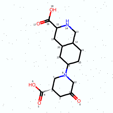 O=C1C[C@H](C(=O)O)CN(C2CCC3CNC(C(=O)O)CC3C2)C1